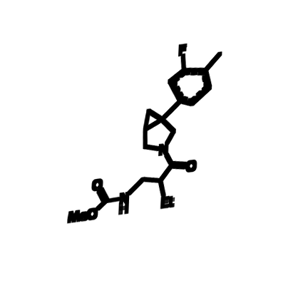 CCC(CNC(=O)OC)C(=O)N1CC2CC2(c2ccc(C)c(F)c2)C1